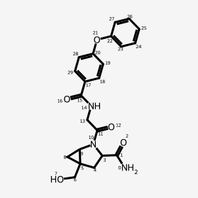 NC(=O)C1CC2(CO)CC2N1C(=O)CNC(=O)c1ccc(Oc2ccccc2)cc1